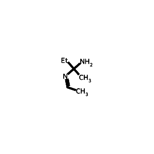 C/C=N\C(C)(N)CC